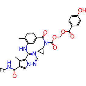 CCNC(=O)c1cn2ncnc(Nc3cc(C(=O)N(C(=O)OCOC(=O)c4ccc(O)cc4)C4CC4)ccc3C)c2c1C